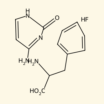 F.NC(Cc1ccccc1)C(=O)O.Nc1cc[nH]c(=O)n1